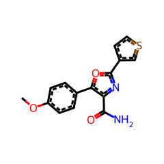 COc1ccc(-c2oc(-c3ccsc3)nc2C(N)=O)cc1